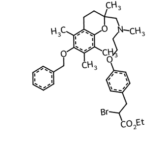 CCOC(=O)C(Br)Cc1ccc(OCCN(C)CC2(C)CCc3c(C)c(OCc4ccccc4)c(C)c(C)c3O2)cc1